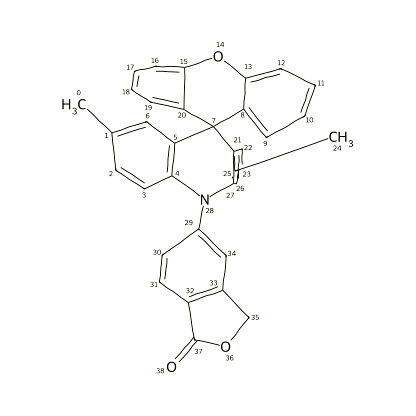 Cc1ccc2c(c1)C1(c3ccccc3Oc3ccccc31)c1cc(C)ccc1N2c1ccc2c(c1)COC2=O